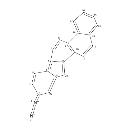 [N-]=[N+]=C1C=CC2=c3ccc4c(ccc5ccccc54)c3=CC2=C1